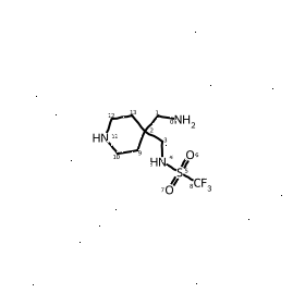 NCC1(CNS(=O)(=O)C(F)(F)F)CCNCC1